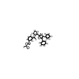 CC(=O)OOc1cccc(C(C)N2CCC[C@H]2c2nc(-c3ccccc3)c(-c3ccccc3)o2)c1